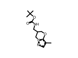 Cc1cnn2c1OCC(CNC(=O)OC(C)(C)C)C2